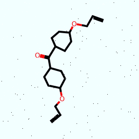 C=CCOC1CCC(C(=O)C2CCC(OCC=C)CC2)CC1